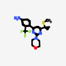 CSC1(c2cc(-c3ccc(N)cc3C(F)(F)F)nc(N3CCOCC3)n2)CC1